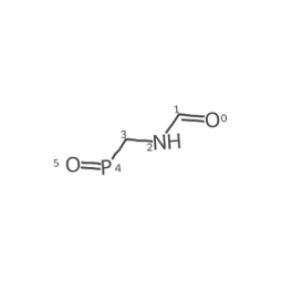 O=CNCP=O